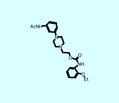 CCOc1ccccc1NC(=O)OCCN1CCN(c2cccc(NC(C)=O)c2)CC1